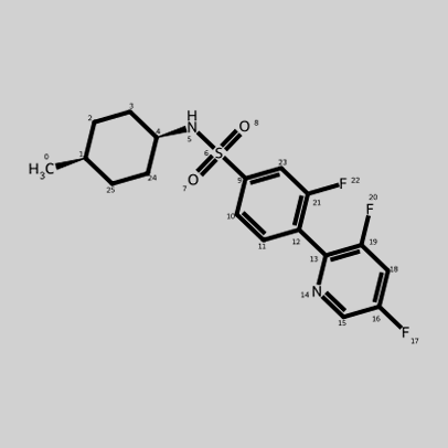 C[C@H]1CC[C@@H](NS(=O)(=O)c2ccc(-c3ncc(F)cc3F)c(F)c2)CC1